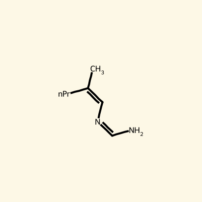 CCC/C(C)=C\N=C/N